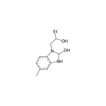 CCC(O)CN1c2ccc(C)cc2NC1O